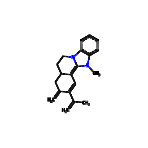 C=C(C)C1=CC2=C3N(C)c4ccccc4N3CCC2CC1=C